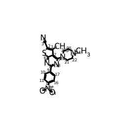 Cc1c(C#N)sc2nc(-c3ccc([N+](=O)[O-])cc3)nc(N3CCN(C)CC3)c12